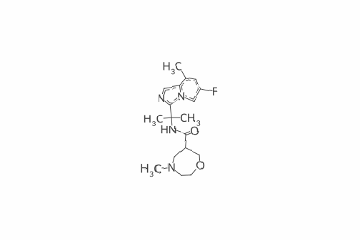 Cc1cc(F)cn2c(C(C)(C)NC(=O)C3COCCN(C)C3)ncc12